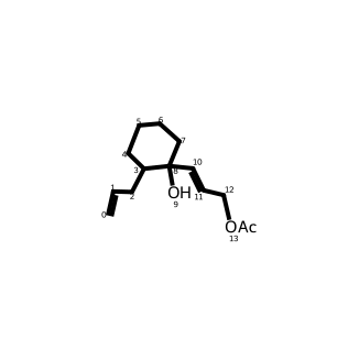 C=CCC1CCCCC1(O)C=CCOC(C)=O